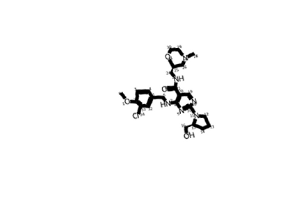 COc1ccc(CNc2nc(N3CCC[C@H]3CO)ncc2C(=O)NC[C@@H]2CN(C)CCO2)cc1Cl